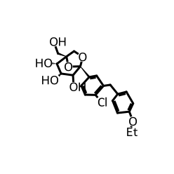 CCOc1ccc(Cc2cc([C@]34OC[C@](CO)(O3)[C@@H](O)[C@H](O)C4O)ccc2Cl)cc1